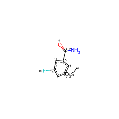 CS(=O)(=O)O.NC(=O)c1cccc(F)c1